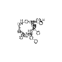 O=C1CCC(=O)N[C@H](Cc2cccs2)C(=O)N[C@@H](Cc2ccc(-c3ccccc3)cc2)C(=O)N[C@H](CCc2ccccc2)C(=O)N[C@H](C(=O)N[C@@H](Cc2ccccc2)C(=O)O)Cc2ccc(cc2)N1